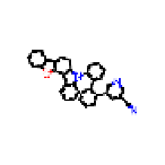 N#Cc1cncc(-c2ccccc2-c2ccccc2-n2c3ccccc3c3c4oc5ccccc5c4ccc32)c1